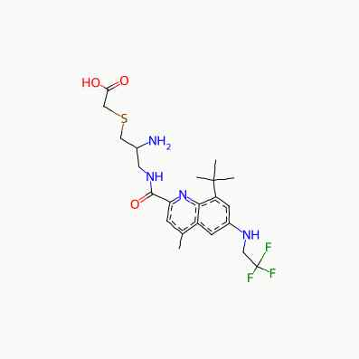 Cc1cc(C(=O)NCC(N)CSCC(=O)O)nc2c(C(C)(C)C)cc(NCC(F)(F)F)cc12